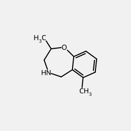 Cc1cccc2c1CNCC(C)O2